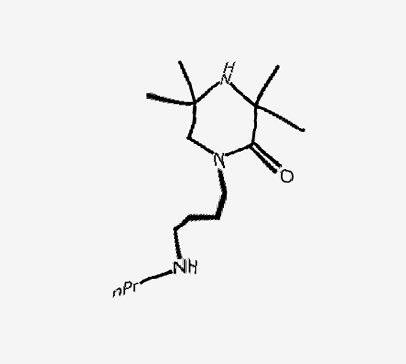 CCCNCCN1CC(C)(C)NC(C)(C)C1=O